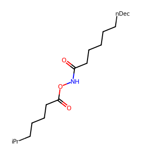 CCCCCCCCCCCCCCCC(=O)NOC(=O)CCCCC(C)C